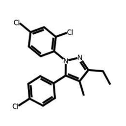 CCc1nn(-c2ccc(Cl)cc2Cl)c(-c2ccc(Cl)cc2)c1C